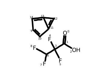 O=C(O)C(F)(F)C(F)F.c1cc2cc-2c1